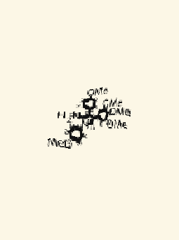 COc1ccc(-c2c(-c3cc(OC)c(OC)c(OC)c3)cn(-c3ccc(OC)cc3)c2N)cc1